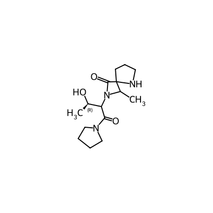 CC1N(C(C(=O)N2CCCC2)[C@@H](C)O)C(=O)C12CCCN2